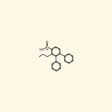 CCCc1c([PH](=O)O)ccc(-c2ccccc2)c1-c1ccccc1